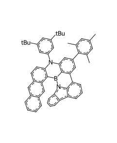 Cc1cc(C)c(-c2cc3c4c(c2)N(c2cc(C(C)(C)C)cc(C(C)(C)C)c2)c2ccc5cc6ccccc6cc5c2B4n2c4ccccc4c4cccc-3c42)c(C)c1